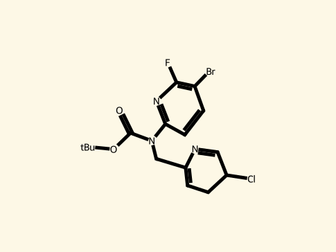 CC(C)(C)OC(=O)N(CC1=CCC(Cl)C=N1)c1ccc(Br)c(F)n1